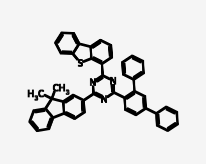 CC1(C)c2ccccc2-c2ccc(-c3nc(-c4ccc(-c5ccccc5)cc4-c4ccccc4)nc(-c4cccc5c4sc4ccccc45)n3)cc21